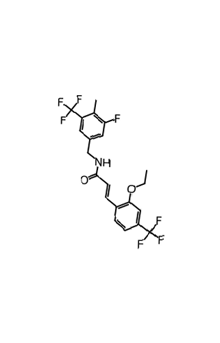 CCOc1cc(C(F)(F)F)ccc1/C=C/C(=O)NCc1cc(F)c(C)c(C(F)(F)F)c1